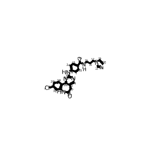 O=C1Cc2cnc(Nc3ccc(C(=O)NCCCn4ccnc4)cc3)nc2-c2ccc(Cl)cc2N1